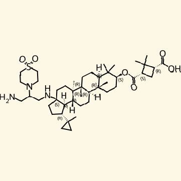 CC1([C@@H]2CC[C@]3(NCC(CN)N4CCS(=O)(=O)CC4)CC[C@]4(C)[C@H](CC[C@@H]5[C@@]6(C)CC[C@H](OC(=O)[C@H]7C[C@@H](C(=O)O)C7(C)C)C(C)(C)[C@@H]6CC[C@]54C)[C@@H]23)CC1